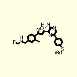 CCC(C)Sc1ccc(-c2cnc(N)c(-c3cc(-c4ccc(CNCF)cc4F)no3)n2)cc1